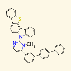 CN1C(c2cccc(-c3ccc(-c4ccccc4)cc3)c2)=CC=NC1n1c2ccccc2c2c3sc4ccccc4c3ccc21